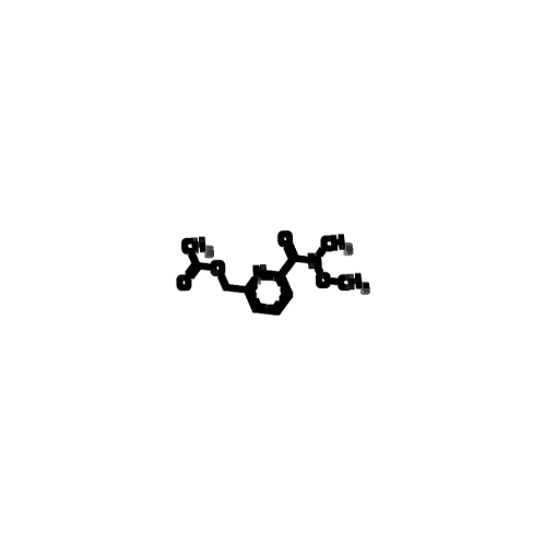 CON(C)C(=O)c1cccc(COC(C)=O)n1